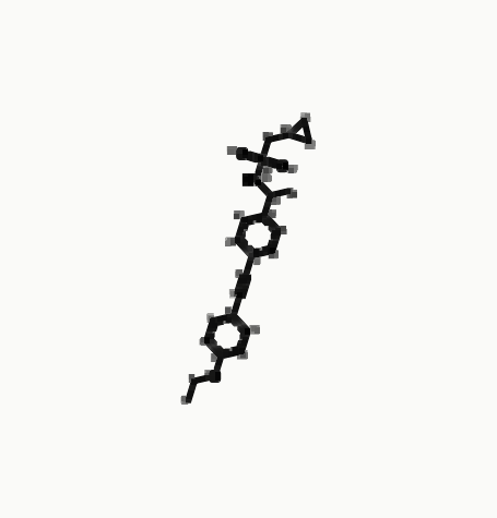 CCOc1ccc(C#Cc2ccc(C(C)NS(=O)(=O)CC3CC3)cc2)cc1